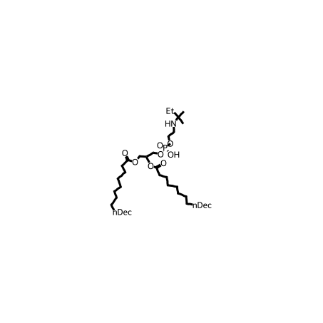 CCCCCCCCCCCCCCCCCC(=O)OCC(COP(=O)(O)OCCNC(C)(C)CC)OC(=O)CCCCCCCCCCCCCCCCC